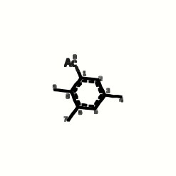 CC(=O)c1cc(C)cc(C)c1C